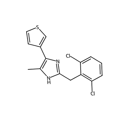 Cc1[nH]c(Cc2c(Cl)cccc2Cl)nc1-c1ccsc1